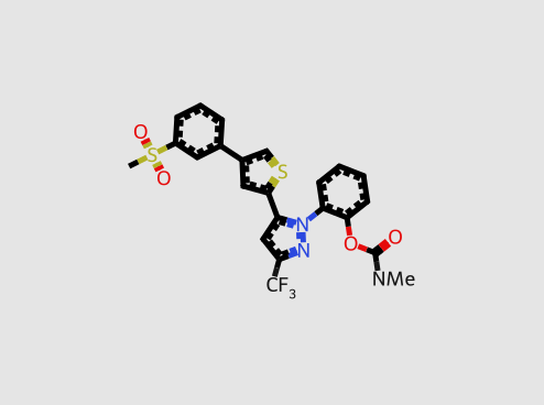 CNC(=O)Oc1ccccc1-n1nc(C(F)(F)F)cc1-c1cc(-c2cccc(S(C)(=O)=O)c2)cs1